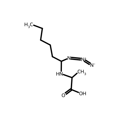 CCCCCC(N=[N+]=[N-])NC(C)C(=O)O